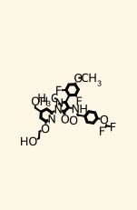 COc1cc(F)c(-c2c(NC(=O)c3ccc(OC(F)F)cc3)c(=O)n(-c3cc(CO)cc(OCCO)n3)n2C)c(F)c1